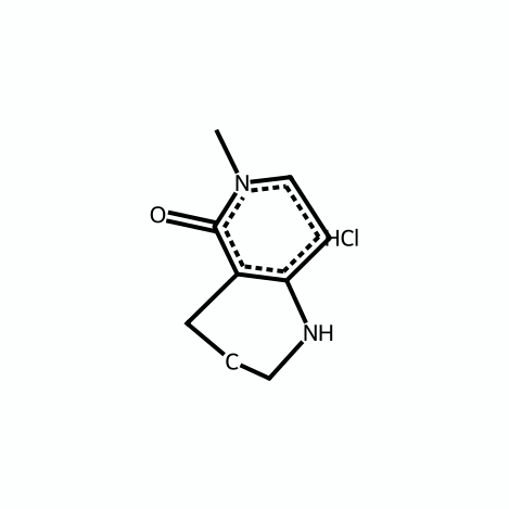 Cl.Cn1ccc2c(c1=O)CCCN2